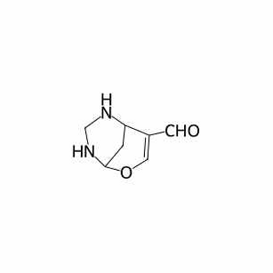 O=CC1=COC2CC1NCN2